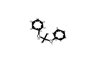 CC(C)(Oc1ccccc1)Oc1ccccc1